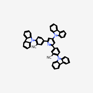 N#Cc1cc(-c2cc(-n3c4ccccc4c4ccccc43)cc(-c3ccc(-n4c5ccccc5c5ccccc54)c(C#N)c3)n2)ccc1-n1c2ccccc2c2ccccc21